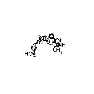 CCc1c[nH]c2ncc(-c3cccc(N4CCN(S(=O)(=O)CCCN5CCN(C(=O)O)CC5)CC4=O)c3)c(Cl)c12